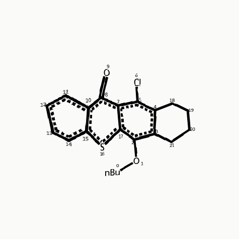 CCCCOc1c2c(c(Cl)c3c(=O)c4ccccc4sc13)CCCC2